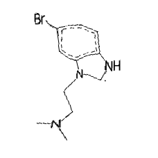 CN(C)CCN1[CH]Nc2ccc(Br)cc21